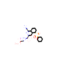 N#Cc1nc(C(=O)NCC(=O)O)c(O)c2c(S(=O)(=O)c3ccccc3)cccc12